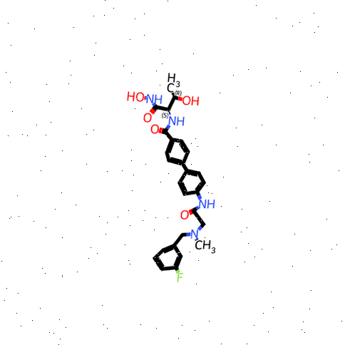 C[C@@H](O)[C@H](NC(=O)c1ccc(-c2ccc(NC(=O)CN(C)Cc3cccc(F)c3)cc2)cc1)C(=O)NO